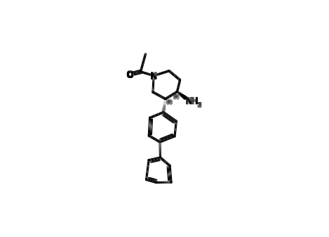 CC(=O)N1CC[C@@H](N)[C@H](c2ccc(-c3ccccc3)cc2)C1